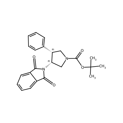 CC(C)(C)OC(=O)N1C[C@@H](c2ccccc2)[C@@H](N2C(=O)c3ccccc3C2=O)C1